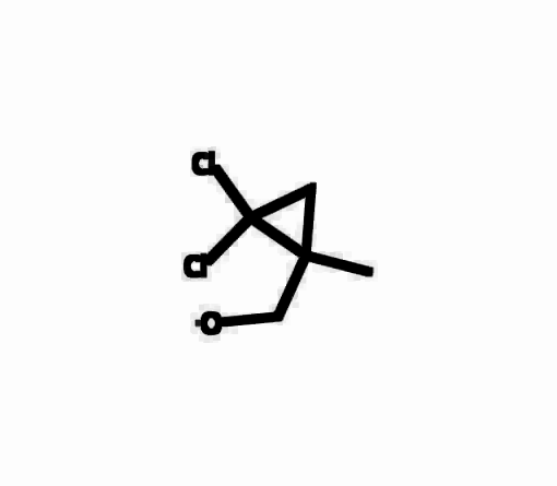 CC1(C[O])CC1(Cl)Cl